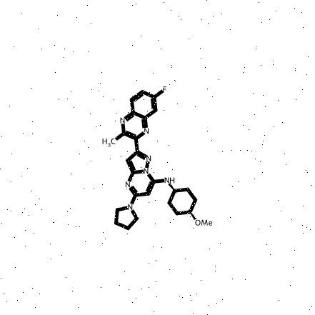 CO[C@H]1CC[C@@H](Nc2cc(N3CCCC3)nc3cc(-c4nc5cc(F)ccc5nc4C)nn23)CC1